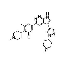 Cc1cc(-c2cc3c(-c4cnn(C5CCN(C)CC5)c4)c[nH]c3nn2)cc(=O)n1C1CCN(C)CC1